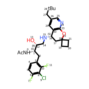 CC(=O)N[C@@H](Cc1ccc(F)c(Cl)c1F)[C@H](O)CN[C@H]1CC2(CCC2)Oc2ncc(CC(C)(C)C)cc21